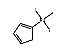 [CH3][Ru]([I])([I])[C]1=CC=CC1